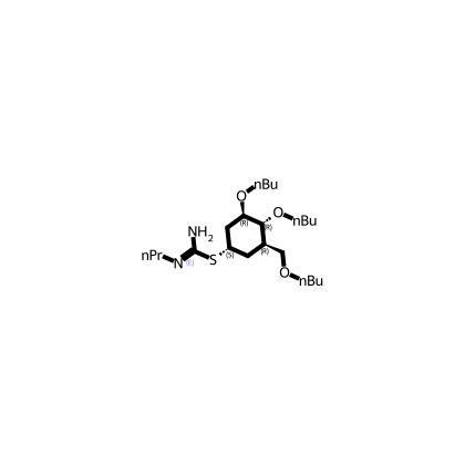 CCCCOC[C@H]1C[C@H](S/C(N)=N/CCC)C[C@@H](OCCCC)[C@@H]1OCCCC